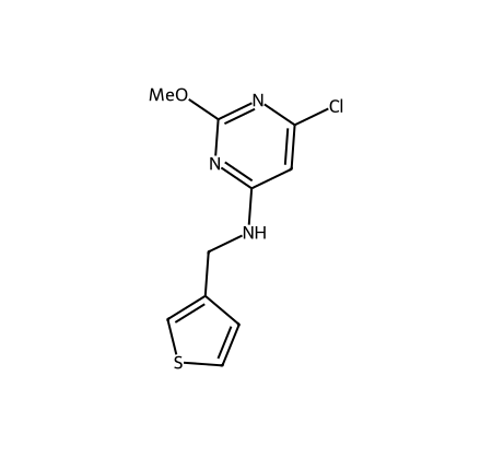 COc1nc(Cl)cc(NCc2ccsc2)n1